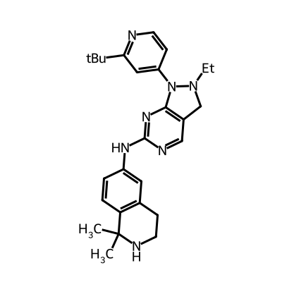 CCN1Cc2cnc(Nc3ccc4c(c3)CCNC4(C)C)nc2N1c1ccnc(C(C)(C)C)c1